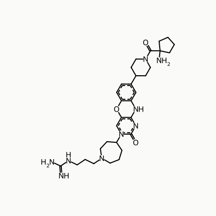 N=C(N)NCCCN1CCCC(n2cc3c(nc2=O)Nc2cc(C4CCN(C(=O)C5(N)CCCC5)CC4)ccc2O3)CC1